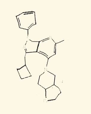 O=C(O)c1cc(N2CC[C@@H]3NCC[C@@H]3C2)c2c(C3CCC3)nn(-c3ccccc3)c2n1